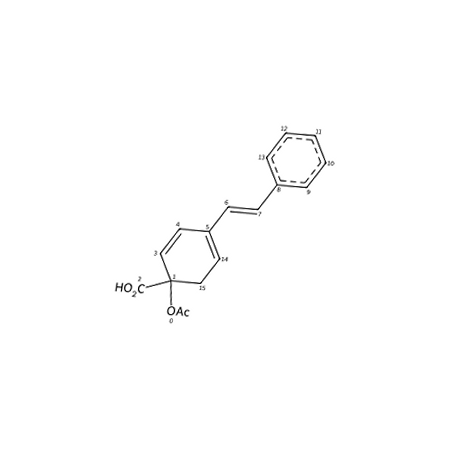 CC(=O)OC1(C(=O)O)C=CC(C=Cc2ccccc2)=CC1